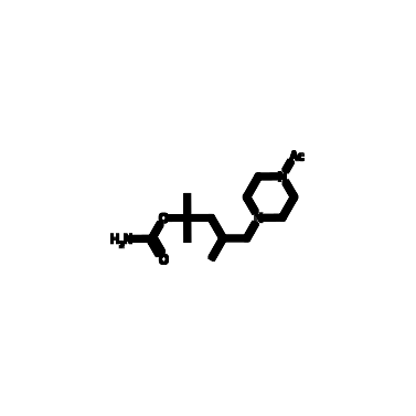 CC(=O)N1CCN(CC(C)CC(C)(C)OC(N)=O)CC1